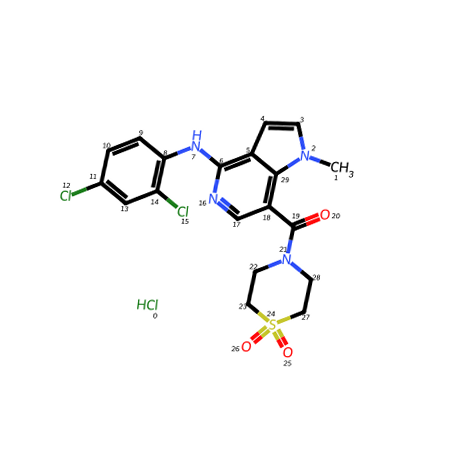 Cl.Cn1ccc2c(Nc3ccc(Cl)cc3Cl)ncc(C(=O)N3CCS(=O)(=O)CC3)c21